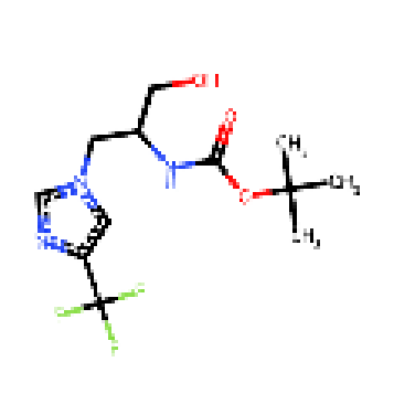 CC(C)(C)OC(=O)NC(CO)Cn1cnc(C(F)(F)F)c1